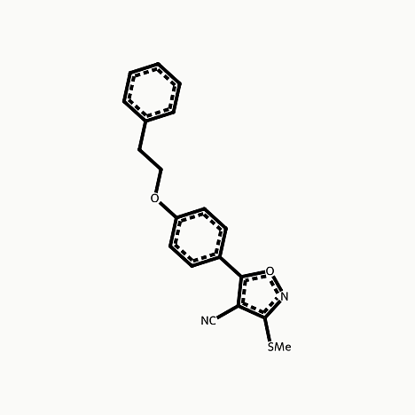 CSc1noc(-c2ccc(OCCc3ccccc3)cc2)c1C#N